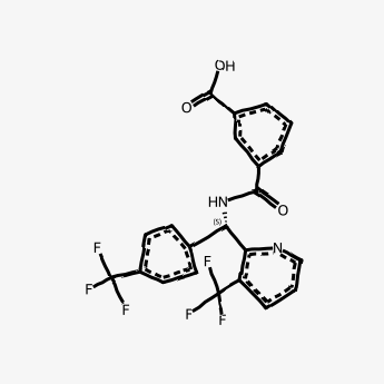 O=C(O)c1cccc(C(=O)N[C@@H](c2ccc(C(F)(F)F)cc2)c2ncccc2C(F)(F)F)c1